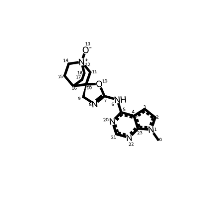 Cn1ccc2c(NC3=NC[C@@]4(C[N+]5([O-])CCC4CC5)O3)ncnc21